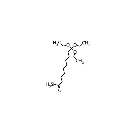 CCOC(CCCCCCCCC(=O)[SiH3])(OCC)OCC